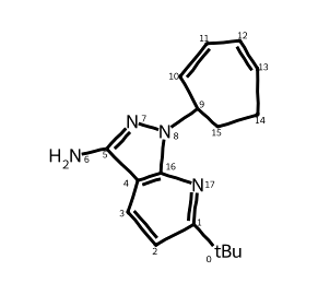 CC(C)(C)c1ccc2c(N)nn(C3C=CC=CCC3)c2n1